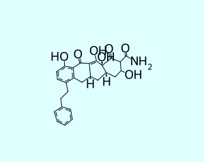 NC(=O)C1C(=O)[C@@]2(O)C(O)=C3C(=O)c4c(O)ccc(CCc5ccccc5)c4C[C@H]3C[C@H]2CC1O